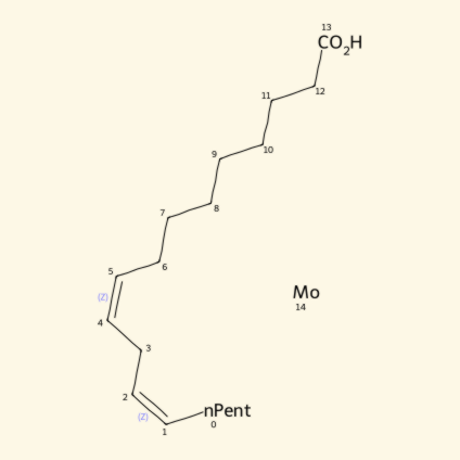 CCCCC/C=C\C/C=C\CCCCCCCC(=O)O.[Mo]